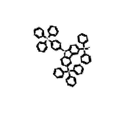 O=P(c1ccccc1)(c1ccccc1)c1ccc2c(c1)c1cc([Si](c3ccccc3)(c3ccccc3)c3ccccc3)ccc1n2-c1ccc([Si](c2ccccc2)(c2ccccc2)c2ccccc2)cc1